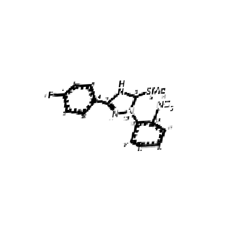 CSC1NC(c2ccc(F)cc2)=NN1c1ccccc1[N+](=O)[O-]